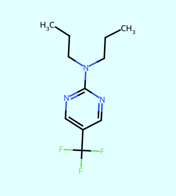 CCCN(CCC)c1ncc(C(F)(F)F)cn1